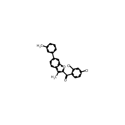 Cc1cccc(-c2ccc3c(C)c(C(=O)c4ccc(Cl)cc4Cl)oc3c2)c1